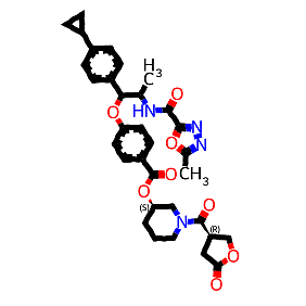 Cc1nnc(C(=O)NC(C)C(Oc2ccc(C(=O)O[C@H]3CCCN(C(=O)[C@H]4COC(=O)C4)C3)cc2)c2ccc(C3CC3)cc2)o1